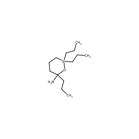 CCCC1(N)CCC[Si](CCC)(CCC)O1